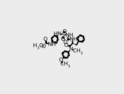 COC(=O)Nc1ccc(NS(=O)(=O)NC(=O)N[C@@H](Cc2ccccc2)C(=O)N(C)c2ccc(OC)cc2)cc1